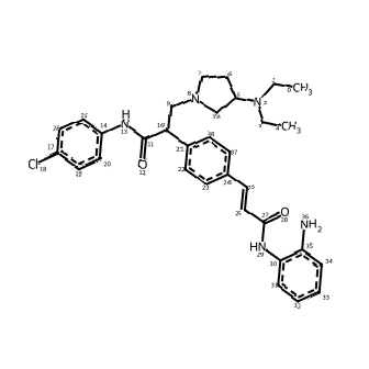 CCN(CC)C1CCN(CC(C(=O)Nc2ccc(Cl)cc2)c2ccc(C=CC(=O)Nc3ccccc3N)cc2)C1